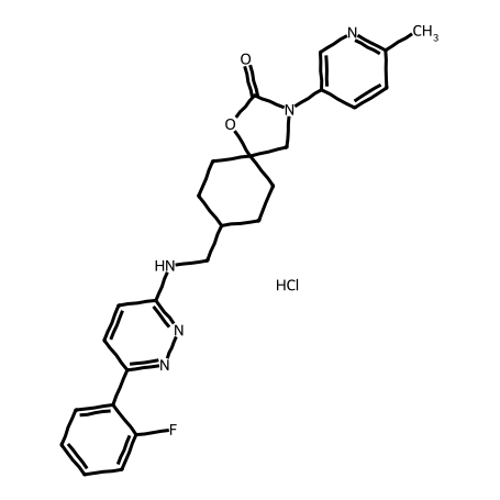 Cc1ccc(N2CC3(CCC(CNc4ccc(-c5ccccc5F)nn4)CC3)OC2=O)cn1.Cl